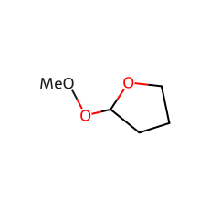 COOC1CCCO1